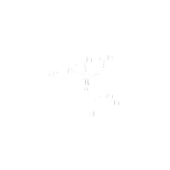 CCCO.CCCO.CCC[O][Zr](=[O])([CH2]CC)([CH2]CC)[O]CCC